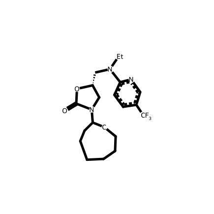 CCN(C[C@@H]1CN(C2CCCCCCC2)C(=O)O1)c1ccc(C(F)(F)F)cn1